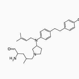 CC(C)=CCN(c1ccc(CCc2ccc(Cl)cc2)cc1)C1CCN(CC(C)CC(N)C=O)C1